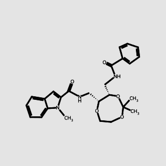 Cn1c(C(=O)NC[C@H]2OCCOC(C)(C)O[C@H]2CNC(=O)c2ccccc2)cc2ccccc21